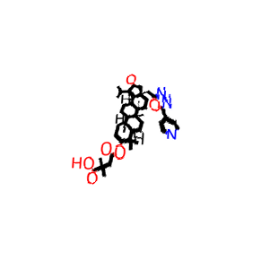 CC(C)C1=C2[C@H]3CC[C@@H]4[C@@]5(C)CC[C@H](OC(=O)CC(C)(C)C(=O)O)C(C)(C)[C@@H]5CC[C@@]4(C)[C@]3(C)CC[C@@]2(Cc2nnc(-c3ccncc3)o2)CC1=O